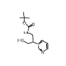 CC(C)(C)OC(=O)NCC(CO)c1cccnc1